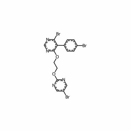 Brc1ccc(-c2c(Br)ncnc2OCCOc2ncc(Br)cn2)cc1